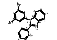 Brc1cc(Br)cc(-n2c(-c3ccccn3)nc3ccccc32)c1